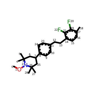 CON1C(C)(C)CC(c2ccc(CCc3ccc(C)c(F)c3F)cc2)CC1(C)C